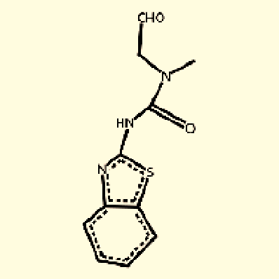 CN(CC=O)C(=O)Nc1nc2ccccc2s1